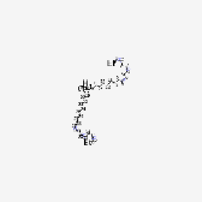 CC/C=C\C/C=C\C/C=C\CCCCCCCCO[PH](=O)OCCCCCCCC/C=C\C/C=C\C/C=C\CC